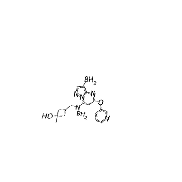 Bc1cnn2c(N(B)CC3CC(C)(O)C3)cc(Oc3cccnc3)nc12